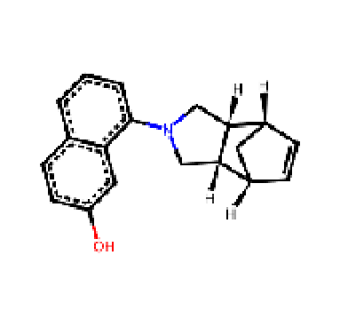 Oc1ccc2cccc(N3C[C@@H]4[C@H](C3)[C@@H]3C=C[C@H]4C3)c2c1